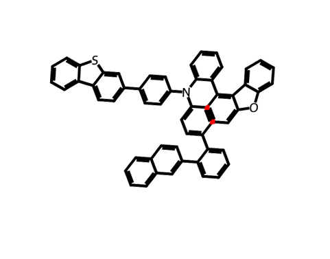 c1ccc(-c2ccc3ccccc3c2)c(-c2ccc(N(c3ccc(-c4ccc5c(c4)sc4ccccc45)cc3)c3ccccc3-c3cccc4oc5ccccc5c34)cc2)c1